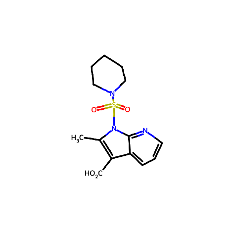 Cc1c(C(=O)O)c2cccnc2n1S(=O)(=O)N1CCCCC1